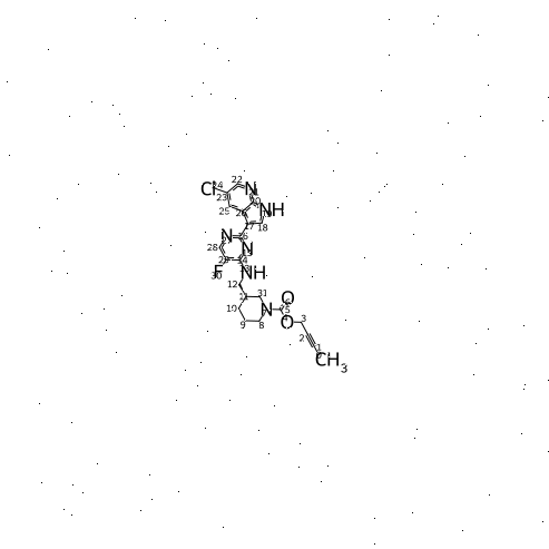 CC#CCOC(=O)N1CCC[C@@H](CNc2nc(-c3c[nH]c4ncc(Cl)cc34)ncc2F)C1